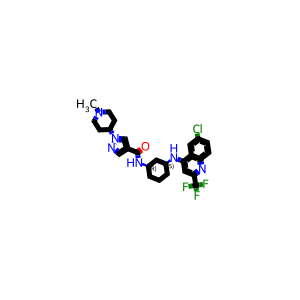 CN1CCC(n2cc(C(=O)N[C@@H]3CCC[C@H](Nc4cc(C(F)(F)F)nc5ccc(Cl)cc45)C3)cn2)CC1